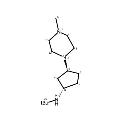 CN1CCN([C@H]2CC[C@H](NC(C)(C)C)C2)CC1